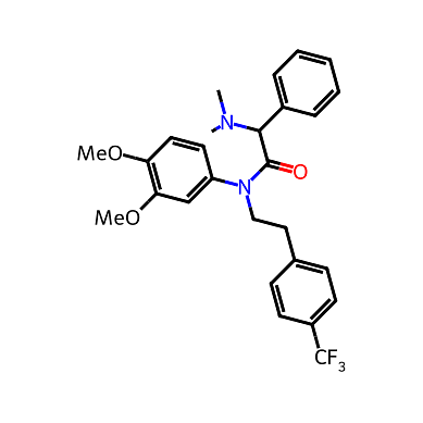 COc1ccc(N(CCc2ccc(C(F)(F)F)cc2)C(=O)C(c2ccccc2)N(C)C)cc1OC